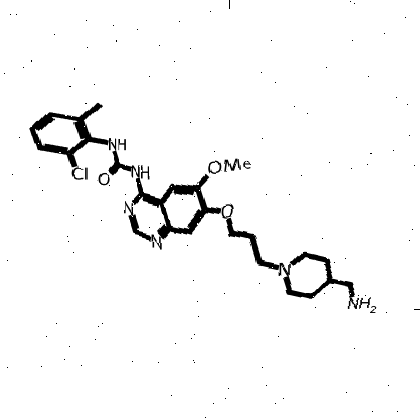 COc1cc2c(NC(=O)Nc3c(C)cccc3Cl)ncnc2cc1OCCCN1CCC(CN)CC1